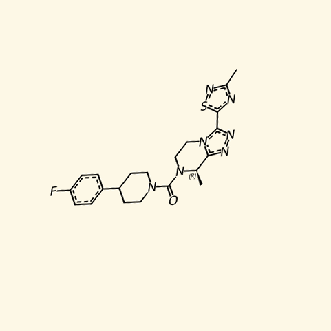 Cc1nsc(-c2nnc3n2CCN(C(=O)N2CCC(c4ccc(F)cc4)CC2)[C@@H]3C)n1